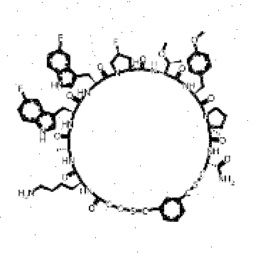 COc1ccc(C[C@@H]2NC(=O)[C@H]([C@H](C)OC)NC(=O)[C@@H]3C[C@H](F)CN3C(=O)[C@H](Cc3c[nH]c4ccc(F)cc34)NC(=O)[C@H](Cc3c[nH]c4ccc(F)cc34)NC(=O)[C@@H](C)NC(=O)[C@H](CCCCN)NC(=O)CCSCc3cccc(c3)CSC[C@@H](C(N)=O)NC(=O)[C@]3(C)CCCN3C2=O)cc1